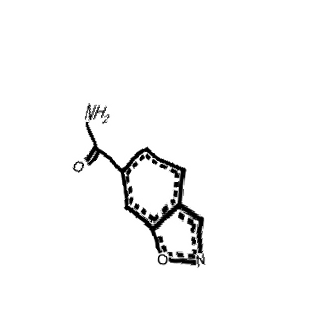 NC(=O)c1ccc2cnoc2c1